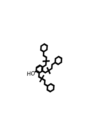 CC(C)(CCC1CCCCC1)Cc1ccc(O)c(CC(C)(C)CCC2CCCCC2)c1CC(C)(C)CCC1CCCCC1